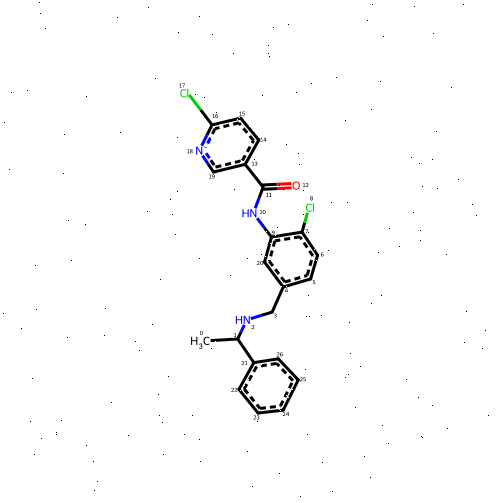 CC(NCc1ccc(Cl)c(NC(=O)c2ccc(Cl)nc2)c1)c1ccccc1